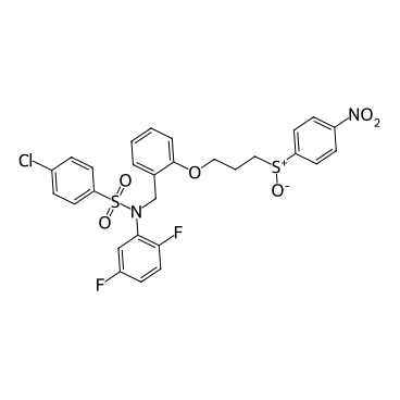 O=[N+]([O-])c1ccc([S+]([O-])CCCOc2ccccc2CN(c2cc(F)ccc2F)S(=O)(=O)c2ccc(Cl)cc2)cc1